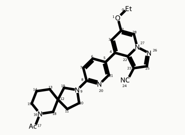 CCOc1cc(-c2ccc(N3CCC4(CCCN(C(C)=O)C4)C3)nc2)c2c(C#N)cnn2c1